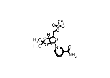 CC1(C)O[C@@H]2[C@H](O1)[C@@H](COS(=O)(=O)C(F)(F)F)O[C@H]2[n+]1cccc(C(N)=O)c1